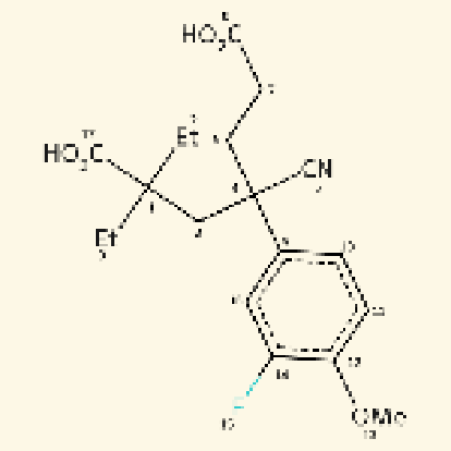 CCC(CC)(CC(C#N)(CCC(=O)O)c1ccc(OC)c(F)c1)C(=O)O